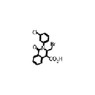 O=C(O)c1c(CBr)n(-c2cccc(Cl)c2)c(=O)c2ccccc12